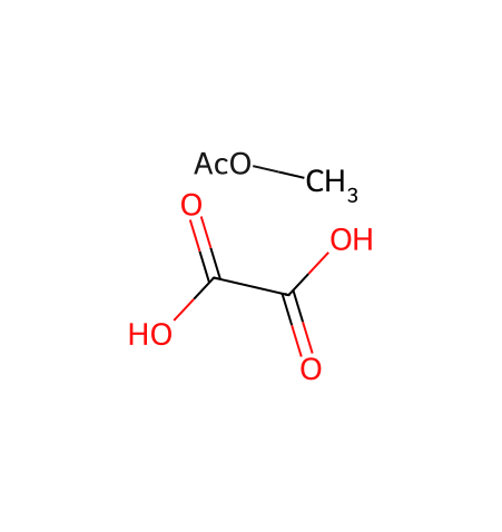 COC(C)=O.O=C(O)C(=O)O